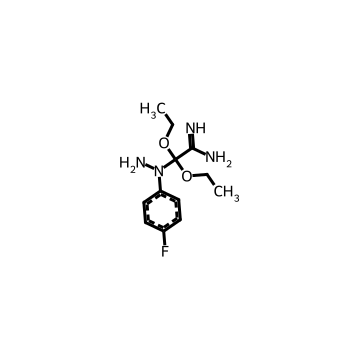 CCOC(OCC)(C(=N)N)N(N)c1ccc(F)cc1